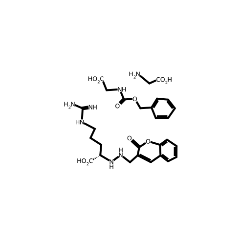 N=C(N)NCCC[C@H](NNCc1cc2ccccc2oc1=O)C(=O)O.NCC(=O)O.O=C(O)CNC(=O)OCc1ccccc1